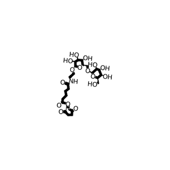 O=C(CCCCC(=O)ON1C(=O)CCC1=O)NCCO[C@@H]1O[C@H](CO[C@@H]2O[C@H](CO)[C@@H](O)[C@H](O)[C@@H]2O)[C@@H](O)[C@H](O)[C@@H]1O